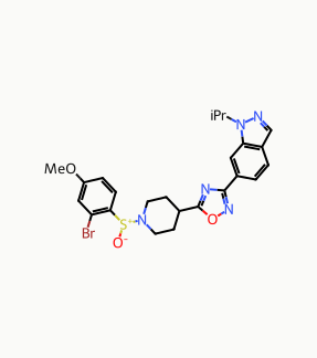 COc1ccc([S+]([O-])N2CCC(c3nc(-c4ccc5cnn(C(C)C)c5c4)no3)CC2)c(Br)c1